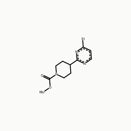 CCc1ccnc(C2CCN(C(=O)OC(C)(C)C)CC2)n1